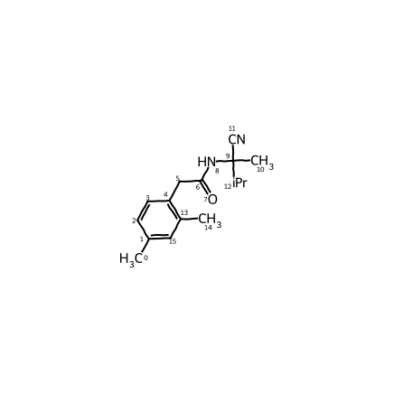 Cc1ccc(CC(=O)NC(C)(C#N)C(C)C)c(C)c1